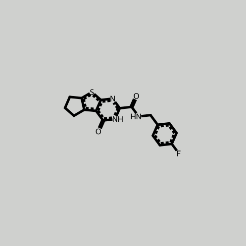 O=C(NCc1ccc(F)cc1)c1nc2sc3c(c2c(=O)[nH]1)CCC3